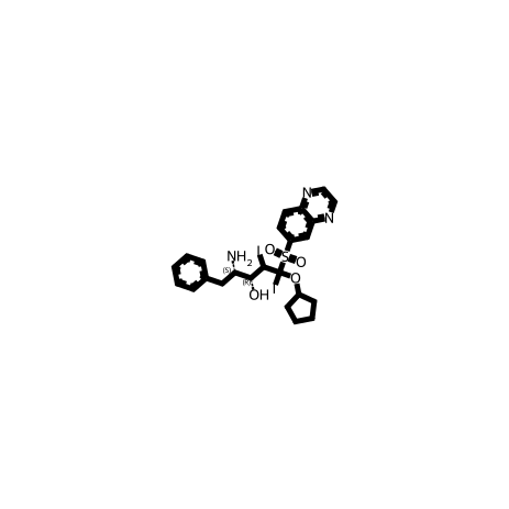 N[C@@H](Cc1ccccc1)[C@@H](O)C(I)C(I)(OC1CCCC1)S(=O)(=O)c1ccc2nccnc2c1